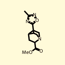 COC(=O)C1CC2CCN1CC2c1nc(C)no1